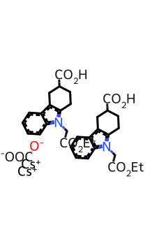 CCOC(=O)Cn1c2c(c3ccccc31)CC(C(=O)O)CC2.CCOC(=O)Cn1c2c(c3ccccc31)CC(C(=O)O)CC2.O=C([O-])[O-].[Cs+].[Cs+]